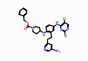 Nc1cncc(CCc2cc(Nc3nc(Cl)ncc3Cl)ccc2NC2CCN(C(=O)OCc3ccccc3)CC2)c1